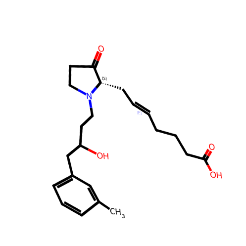 Cc1cccc(CC(O)CCN2CCC(=O)[C@@H]2C/C=C/CCCC(=O)O)c1